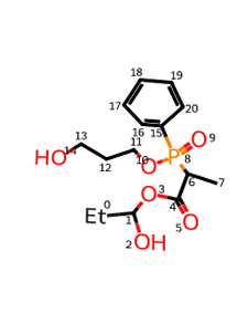 CCC(O)OC(=O)C(C)P(=O)(OCCCO)c1ccccc1